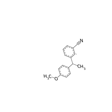 COc1ccc(C(C)c2[c]c(C#N)ccc2)cc1